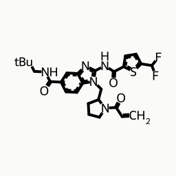 C=CC(=O)N1CCCC1Cn1c(NC(=O)c2ccc(C(F)F)s2)nc2cc(C(=O)NCC(C)(C)C)ccc21